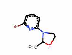 O=CC1OCCN1c1cccc(Br)n1